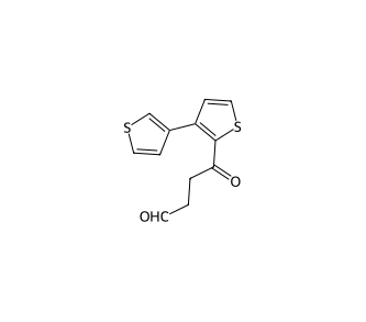 O=CCCC(=O)c1sccc1-c1ccsc1